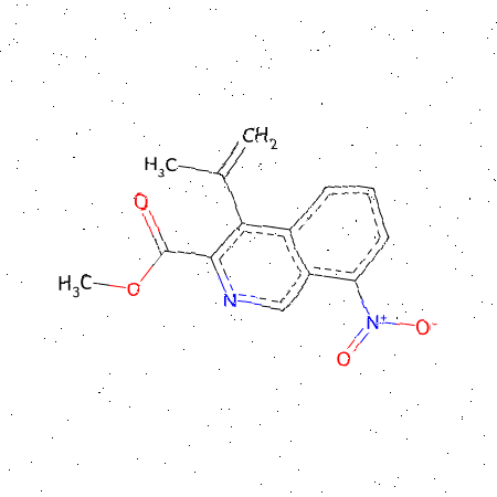 C=C(C)c1c(C(=O)OC)ncc2c([N+](=O)[O-])cccc12